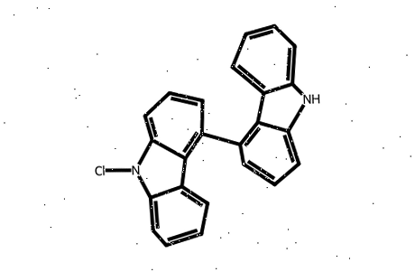 Cln1c2ccccc2c2c(-c3cccc4[nH]c5ccccc5c34)cccc21